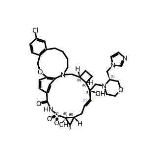 C[C@@]12C[C@H]1C/C=C/[C@@](O)(CN1CCOC[C@@H]1Cn1ccnc1)[C@@H]1CC[C@H]1CN1CCCCc3cc(Cl)ccc3COc3ccc(cc31)C(=O)NS2(=O)=O